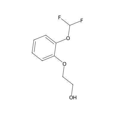 OCCOc1ccccc1OC(F)F